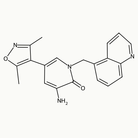 Cc1noc(C)c1-c1cc(N)c(=O)n(Cc2cccc3ncccc23)c1